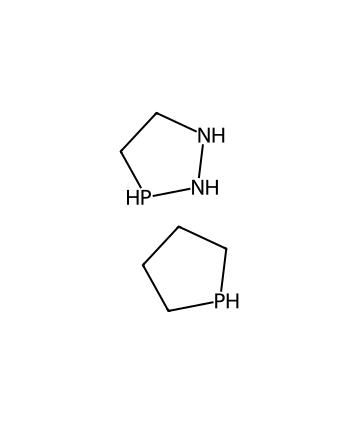 C1CCPC1.C1CPNN1